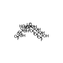 O=C(O)C(=O)F.O=C(O)C(=O)F.O=C(O)C(=O)F.O=C(O)C(=O)F.O=C(O)C(=O)F.O=C(O)C(=O)F.[Li+].[O-]B(O)O